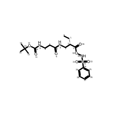 CC[C@@H](CNC(=O)CCNC(=O)OC(C)(C)C)C(=O)ONS(=O)(=O)c1ccccc1